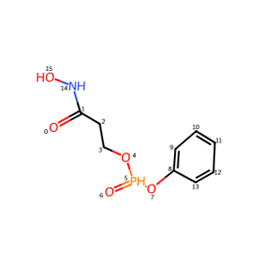 O=C(CCO[PH](=O)Oc1ccccc1)NO